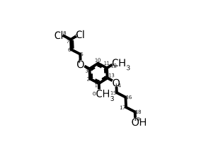 Cc1cc(OCC=C(Cl)Cl)cc(C)c1OCCCCO